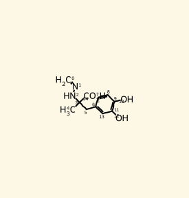 C=NNC(C)(Cc1ccc(O)c(O)c1)C(=O)O